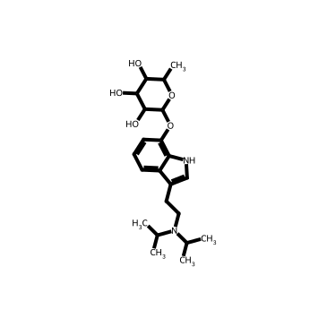 CC1OC(Oc2cccc3c(CCN(C(C)C)C(C)C)c[nH]c23)C(O)C(O)C1O